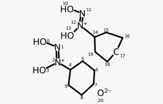 ON=[N+](O)C1CCCCC1.ON=[N+](O)C1CCCCC1.[O-2]